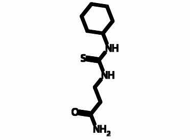 NC(=O)CCNC(=S)NC1CCCCC1